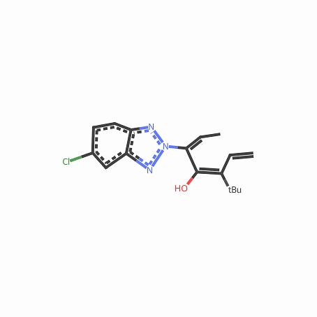 C=C/C(=C(O)\C(=C/C)n1nc2ccc(Cl)cc2n1)C(C)(C)C